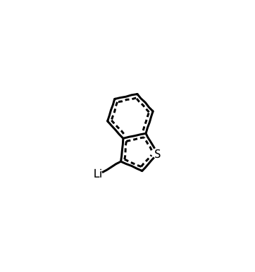 [Li][c]1csc2ccccc12